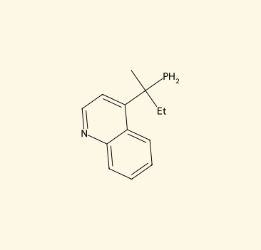 CCC(C)(P)c1ccnc2ccccc12